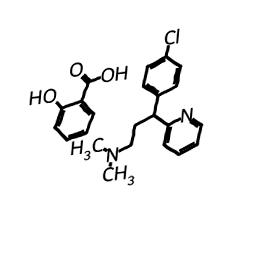 CN(C)CCC(c1ccc(Cl)cc1)c1ccccn1.O=C(O)c1ccccc1O